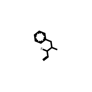 C=CC(F)C(C)Cc1ccccc1